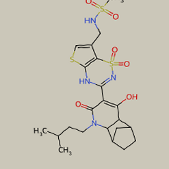 CC(C)CCN1C(=O)C(C2=NS(=O)(=O)c3c(CNS(C)(=O)=O)csc3N2)=C(O)C2C3CCC(C3)C21